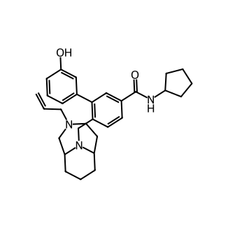 C=CCN1CCC2CCCC(C1)N2Cc1ccc(C(=O)NC2CCCC2)cc1-c1cccc(O)c1